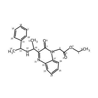 CCOC(=O)Cn1c(=O)c(C(C)NC(C)c2ccccc2)nc2ccccc21